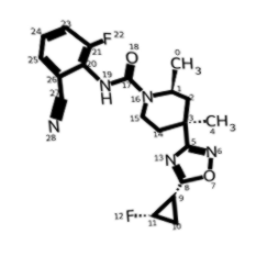 C[C@H]1C[C@@](C)(c2noc([C@@H]3C[C@@H]3F)n2)CCN1C(=O)Nc1c(F)cccc1C#N